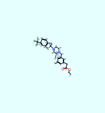 CCOC(=O)Cc1cc(C)cc(CN2CCN(c3nc4ccc(C(F)(F)F)cc4s3)C[C@@H]2C)c1